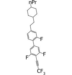 CCCC1CCC(CCc2ccc(-c3cc(F)c(C#CC(F)(F)F)c(F)c3)c(F)c2)CC1